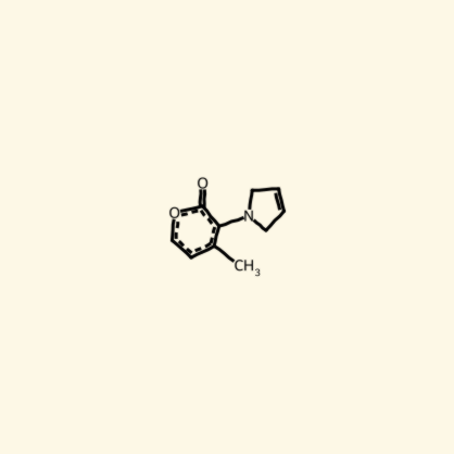 Cc1ccoc(=O)c1N1CC=CC1